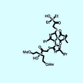 CC[N+](O)(CC)C(=O)CSC1N=C(C(C)C)N(n2nc(C(C)C)nc2SCC(=O)[N+](O)(CCOC)CCOC)[N+]1(C(=O)N(C)C)C(=O)N(C)C